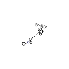 O=C(/C=C/c1ccccc1)OCCCCCCC(=O)c1sc2c(Br)sc(Br)c2c1F